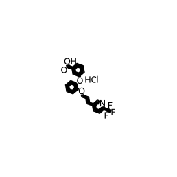 Cl.O=C(O)c1cccc(Oc2ccccc2OCC=Cc2ccc(C(F)(F)F)nc2)c1